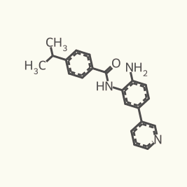 CC(C)c1ccc(C(=O)Nc2cc(-c3cccnc3)ccc2N)cc1